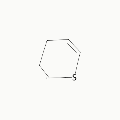 [CH]1CCC=CS1